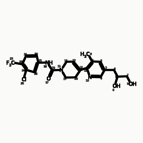 Cc1cc(CC(O)CO)cnc1C1=CCN(C(=O)Nc2ccc(C(F)(F)F)c(Cl)c2)CC1